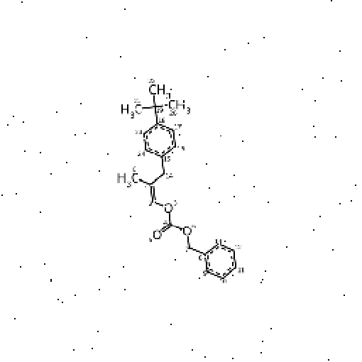 CC(=COC(=O)OCc1ccccc1)Cc1ccc(C(C)(C)C)cc1